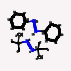 CC(C)(C#N)N=NC(C)(C)C#N.c1ccc(N=Nc2ccccc2)cc1